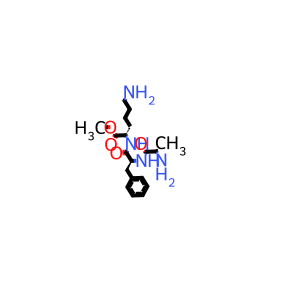 COC(=O)[C@H](CCCCN)NC(=O)[C@H](Cc1ccccc1)NC(=O)[C@H](C)N